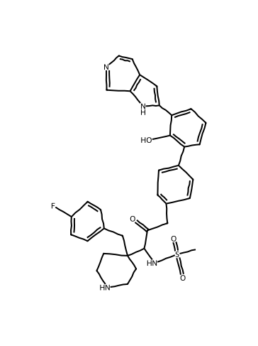 CS(=O)(=O)NC(C(=O)Cc1ccc(-c2cccc(-c3cc4ccncc4[nH]3)c2O)cc1)C1(Cc2ccc(F)cc2)CCNCC1